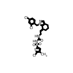 Cc1cc(S(=O)(=O)NC(=O)NCC=C2CCCc3cnn(Cc4ccc(Cl)cc4Cl)c32)sc1Cl